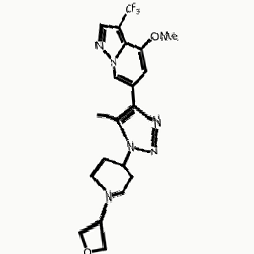 COc1cc(-c2nnn(C3CCN(C4COC4)CC3)c2C)cn2ncc(C(F)(F)F)c12